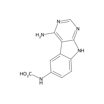 Nc1ncnc2[nH]c3ccc(NC(=O)O)cc3c12